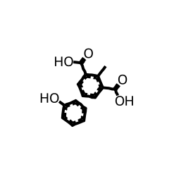 Cc1c(C(=O)O)cccc1C(=O)O.Oc1ccccc1